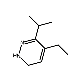 CCC1=CCNN=C1C(C)C